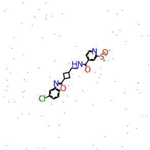 C[S+]([O-])c1cc(C(=O)NCCC2CC(c3nc4cc(Cl)ccc4o3)C2)ccn1